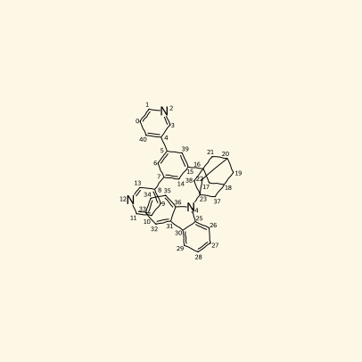 c1cncc(-c2cc(-c3cccnc3)cc(C34CC5CC(C3)CC(n3c6ccccc6c6ccccc63)(C5)C4)c2)c1